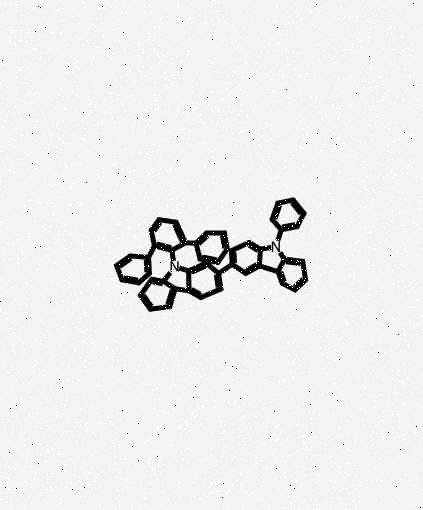 c1ccc(-c2cccc(-c3ccccc3)c2-n2c3ccccc3c3ccc(-c4ccc5c(c4)c4ccccc4n5-c4ccccc4)cc32)cc1